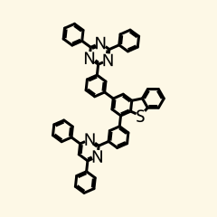 c1ccc(-c2cc(-c3ccccc3)nc(-c3cccc(-c4cc(-c5cccc(-c6nc(-c7ccccc7)nc(-c7ccccc7)n6)c5)cc5c4sc4ccccc45)c3)n2)cc1